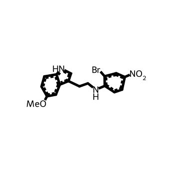 COc1ccc2[nH]cc(CCNc3ccc([N+](=O)[O-])cc3Br)c2c1